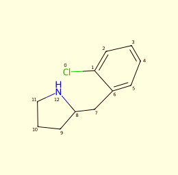 Clc1ccccc1CC1CCCN1